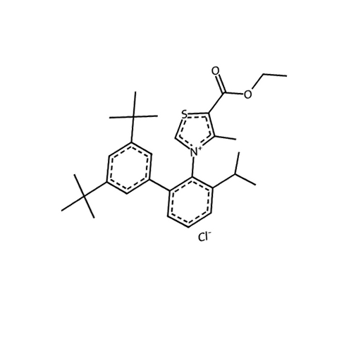 CCOC(=O)c1sc[n+](-c2c(-c3cc(C(C)(C)C)cc(C(C)(C)C)c3)cccc2C(C)C)c1C.[Cl-]